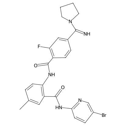 Cc1ccc(NC(=O)c2ccc(C(=N)N3CCCC3)cc2F)c(C(=O)Nc2ccc(Br)cn2)c1